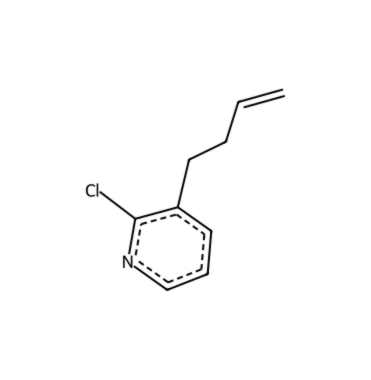 C=CCCc1cccnc1Cl